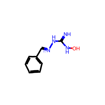 N=C(NO)N/N=C/c1ccccc1